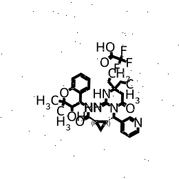 CCC1(CC)CC(=O)N(C(c2cccnc2)[C@@H]2C[C@H]2C(=O)NC2c3ccccc3OC(C)(C)C2O)C(=N)N1.O=C(O)C(F)(F)F